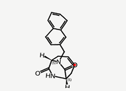 O=C1N[C@H]2CC=CC[C@@H]1N(Cc1ccc3ccccc3c1)C2=O